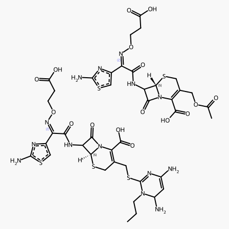 CC(=O)OCC1=C(C(=O)O)N2C(=O)C(NC(=O)/C(=N\OCCC(=O)O)c3csc(N)n3)[C@@H]2SC1.CCCN1C(SCC2=C(C(=O)O)N3C(=O)C(NC(=O)/C(=N\OCCC(=O)O)c4csc(N)n4)[C@@H]3SC2)=NC(N)=CC1N